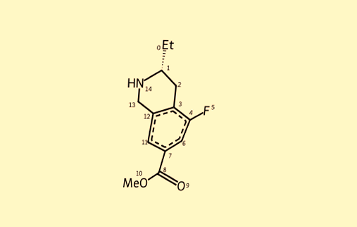 CC[C@@H]1Cc2c(F)cc(C(=O)OC)cc2CN1